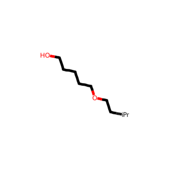 CC(C)CCOCCCCCO